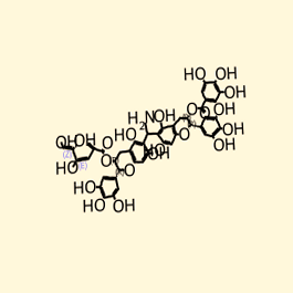 C=C(/C=C(O)\C(O)=C\O)C(=O)O[C@@H]1Cc2c(cc(O)c(C(CN)c3c(O)cc4c(c3O)C[C@@H](OC(=O)c3cc(O)c(O)c(O)c3)[C@@H](c3cc(O)c(O)c(O)c3)O4)c2O)O[C@@H]1c1cc(O)c(O)c(O)c1